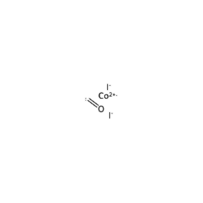 [C]=O.[Co+2].[I-].[I-]